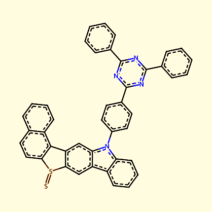 S=S1c2cc3c4ccccc4n(-c4ccc(-c5nc(-c6ccccc6)nc(-c6ccccc6)n5)cc4)c3cc2-c2c1ccc1ccccc21